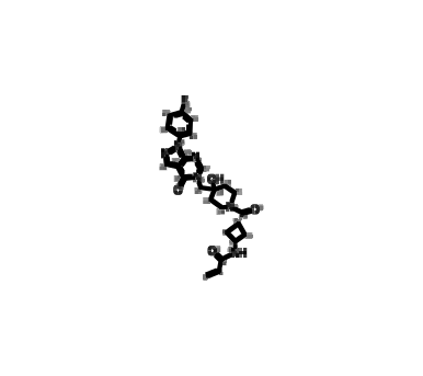 C=CC(=O)N[C@H]1C[C@H](C(=O)N2CCC(O)(Cn3cnc4c(cnn4-c4ccc(F)cc4)c3=O)CC2)C1